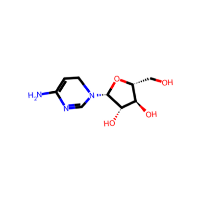 NC1=CCN([C@@H]2O[C@H](CO)[C@@H](O)[C@@H]2O)C=N1